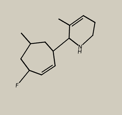 CC1=CCCNC1C1C=CC(F)CC(C)C1